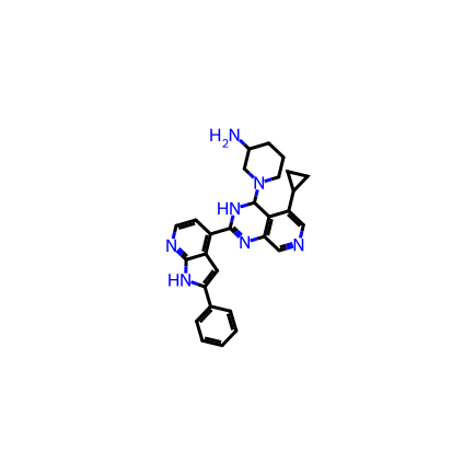 NC1CCCN(C2NC(c3ccnc4[nH]c(-c5ccccc5)cc34)=Nc3cncc(C4CC4)c32)C1